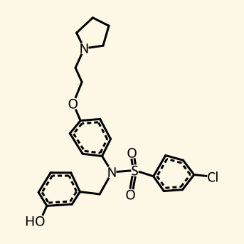 O=S(=O)(c1ccc(Cl)cc1)N(Cc1cccc(O)c1)c1ccc(OCCN2CCCC2)cc1